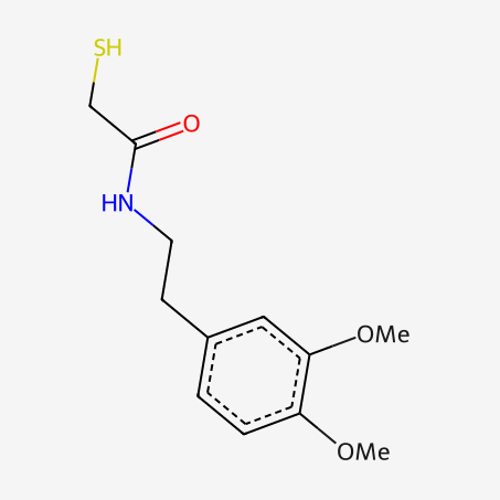 COc1ccc(CCNC(=O)CS)cc1OC